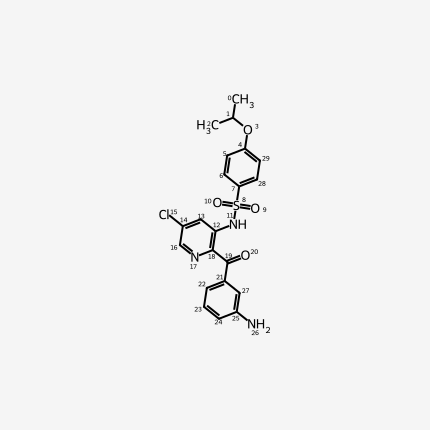 CC(C)Oc1ccc(S(=O)(=O)Nc2cc(Cl)cnc2C(=O)c2cccc(N)c2)cc1